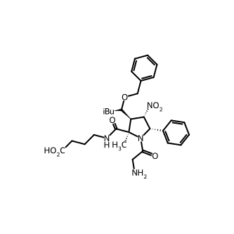 CC[C@H](C)C(OCc1ccccc1)[C@H]1[C@H]([N+](=O)[O-])[C@H](c2ccccc2)N(C(=O)CN)[C@@]1(C)C(=O)NCCCC(=O)O